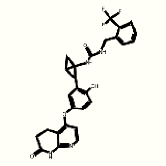 O=C1CCc2c(Oc3ccc(O)c(C4C5CC54NC(=O)NCc4ccccc4C(F)(F)F)c3)ccnc2N1